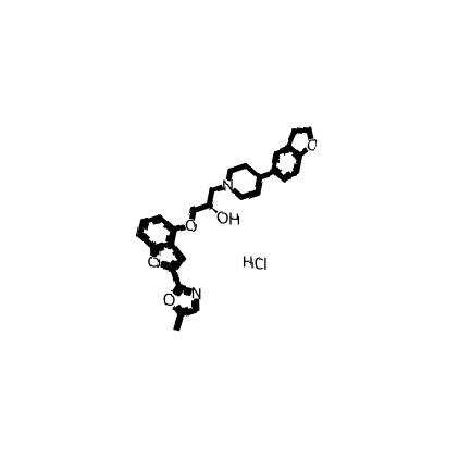 Cc1cnc(-c2cc3c(OC[C@@H](O)CN4CCC(c5ccc6c(c5)CCO6)CC4)cccc3o2)o1.Cl